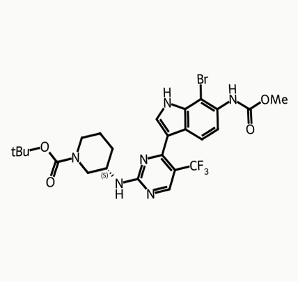 COC(=O)Nc1ccc2c(-c3nc(N[C@H]4CCCN(C(=O)OC(C)(C)C)C4)ncc3C(F)(F)F)c[nH]c2c1Br